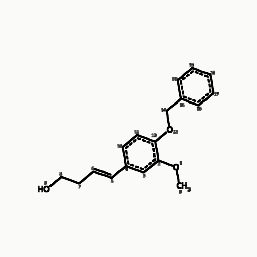 COc1cc(C=CCCO)ccc1OCc1ccccc1